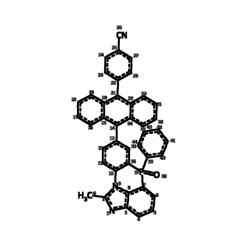 Cc1nc2cccc3c2n1-c1ccc(-c2c4ccccc4c(-c4ccc(C#N)cc4)c4ccccc24)cc1P3(=O)c1ccccc1